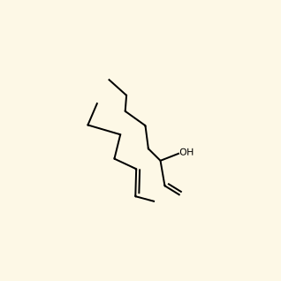 C=CC(O)CCCCC.CC=CCCCC